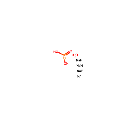 O.O=[PH](O)O.[H+].[NaH].[NaH].[NaH]